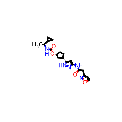 C[C@H](NC(=O)O[C@@H]1CC[C@H](c2cc(NC(=O)Cc3ccon3)n[nH]2)C1)C1CC1